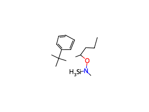 CC(C)(C)c1ccccc1.CCCC(C)ON(C)[SiH3]